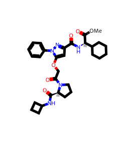 COC(=O)[C@@H](NC(=O)c1cc(OCC(=O)N2CCC[C@H]2C(=O)NC2CCC2)n(-c2ccccc2)n1)C1CCCCC1